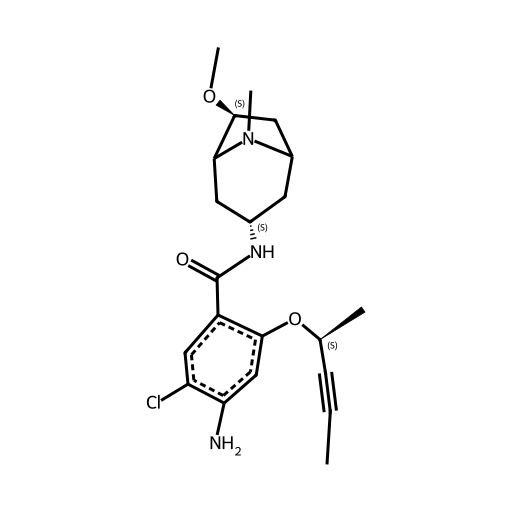 CC#C[C@H](C)Oc1cc(N)c(Cl)cc1C(=O)N[C@H]1CC2C[C@H](OC)C(C1)N2C